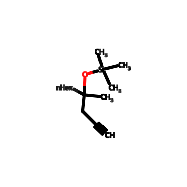 C#CCC(C)(CCCCCC)O[Si](C)(C)C